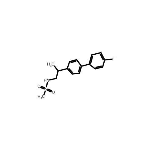 CC(CNS(C)(=O)=O)c1ccc(-c2ccc(F)cc2)cc1